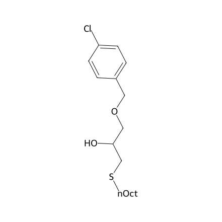 CCCCCCCCSCC(O)COCc1ccc(Cl)cc1